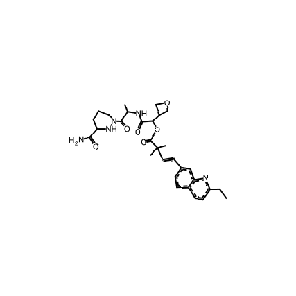 CCc1ccc2ccc(/C=C/C(C)(C)C(=O)OC(C(=O)NC(C)C(=O)N3CCCC(C(N)=O)N3)C3COC3)cc2n1